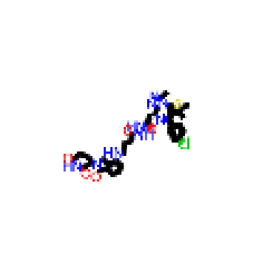 Cc1sc2c(c1C)C(c1ccc(Cl)cc1)=N[C@@H](CC(=O)NNC(=O)CCCNc1cccc3c1CN(C1CCC(=O)NC1=O)C3=O)c1nnc(C)n1-2